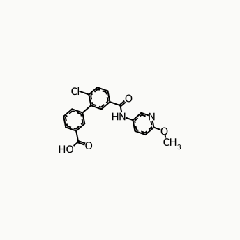 COc1ccc(NC(=O)c2ccc(Cl)c(-c3cccc(C(=O)O)c3)c2)cn1